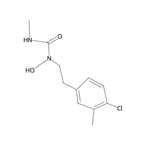 CNC(=O)N(O)CCc1ccc(Cl)c(C)c1